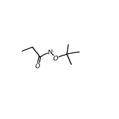 CCC(=O)[N]OC(C)(C)C